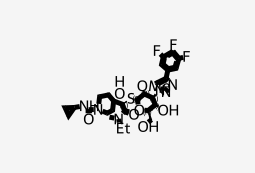 CCN(C)C(=O)[C@@H](S[C@@H]1O[C@H](CO)[C@H](O)[C@H](n2cc(-c3cc(F)c(F)c(F)c3)nn2)[C@H]1OC)C1(O)CCN(C(=O)NC2CC2)CC1